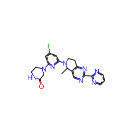 CC1c2cnc(-c3ncccn3)nc2CCN1c1cc(F)cc(N2CCNC(=O)C2)n1